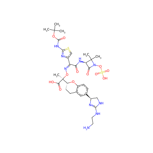 CC(C)(C)OC(=O)Nc1nc(/C(=N/O[C@](C)(C(=O)O)[C@H]2CCc3cc([C@H]4CNC(NCCN)=N4)ccc3O2)C(=O)N[C@@H]2C(=O)N(OS(=O)(=O)O)C2(C)C)cs1